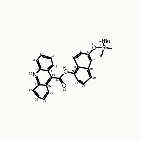 CC(C)(C)[Si](C)(C)Oc1ccc2c(OC(=O)c3c4ccccc4nc4ccccc34)cccc2c1